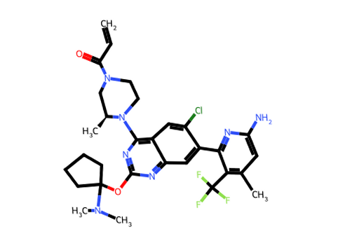 C=CC(=O)N1CCN(c2nc(OC3(N(C)C)CCCC3)nc3cc(-c4nc(N)cc(C)c4C(F)(F)F)c(Cl)cc23)[C@@H](C)C1